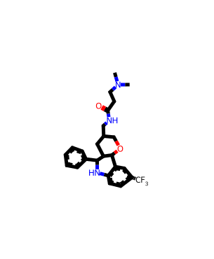 CN(C)CCC(=O)NCC1COC2c3cc(C(F)(F)F)ccc3NC(c3ccccc3)C2C1